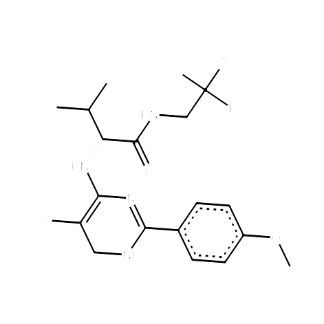 COc1ccc(C2=NC(N[C@@H](C(=O)NCC(F)(F)F)C(C)C)=C(F)CN2)cc1